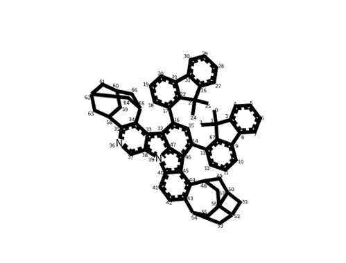 CC1(C)c2ccccc2-c2cccc(-c3cc(-c4cccc5c4C(C)(C)c4ccccc4-5)c4c5c6c(ncc5n5c7ccc8c(c7c3c45)C3CC4CC5CC8CC54C3)C3CC4CC(C3)CC6C4)c21